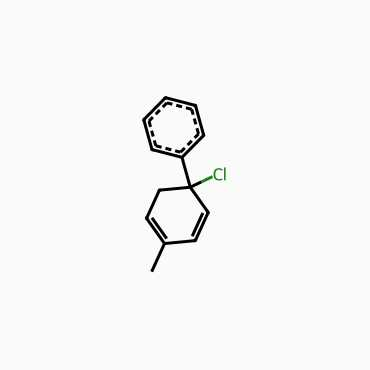 CC1=CCC(Cl)(c2ccccc2)C=C1